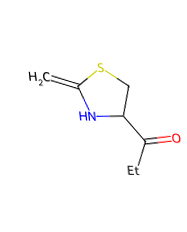 C=C1NC(C(=O)CC)CS1